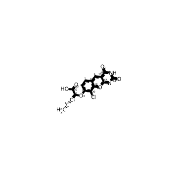 C=C=C=C(Oc1ccc2cc3c(=O)[nH]c(=O)nc-3oc2c1Cl)C(=O)O